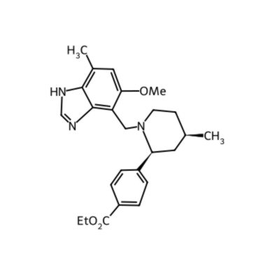 CCOC(=O)c1ccc([C@@H]2C[C@H](C)CCN2Cc2c(OC)cc(C)c3[nH]cnc23)cc1